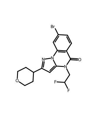 O=c1c2ccc(Br)cc2n2nc(C3CCOCC3)cc2n1CC(F)F